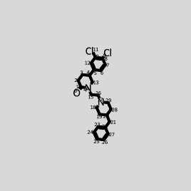 O=C1CCC(c2ccc(Cl)c(Cl)c2)CN1CCN1CCC(Cc2ccccc2)CC1